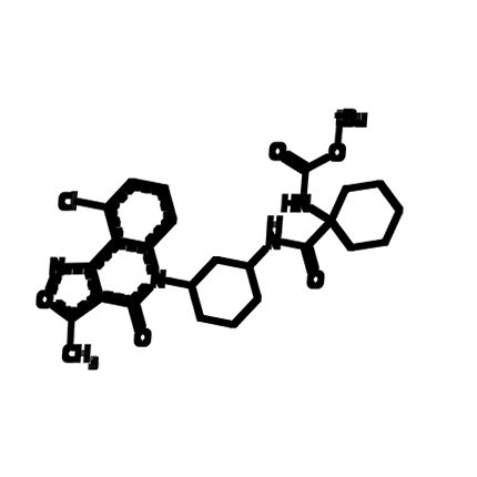 Cc1onc2c1c(=O)n(C1CCCC(NC(=O)C3(NC(=O)OC(C)(C)C)CCCCC3)C1)c1cccc(Cl)c21